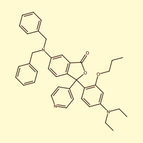 CCCOc1cc(N(CC)CC)ccc1C1(c2ccncc2)OC(=O)c2cc(N(Cc3ccccc3)Cc3ccccc3)ccc21